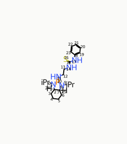 CC(C)N1[C@@H]2CCCC[C@H]2N(C(C)C)P1NCCNC(=S)Nc1ccccc1